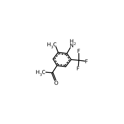 CC(=O)c1cc(C)c(N)c(C(F)(F)F)c1